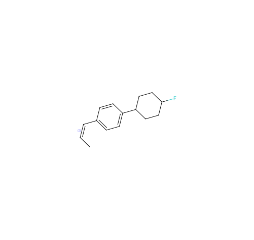 C/C=C\c1ccc(C2CCC(F)CC2)cc1